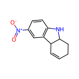 O=[N+]([O-])c1ccc2c(c1)C1C=CCCC1N2